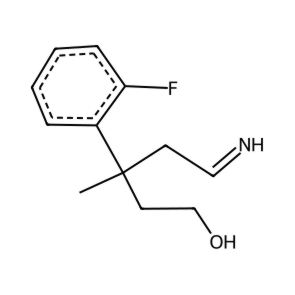 CC(CC=N)(CCO)c1ccccc1F